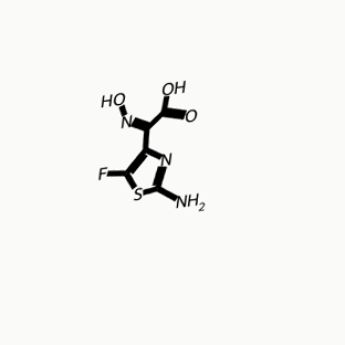 Nc1nc(C(=NO)C(=O)O)c(F)s1